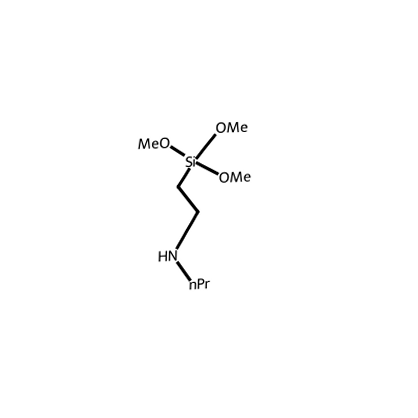 CCCNCC[Si](OC)(OC)OC